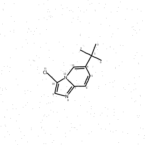 CC(C)(C)c1ccc2ncc(Cl)n2c1